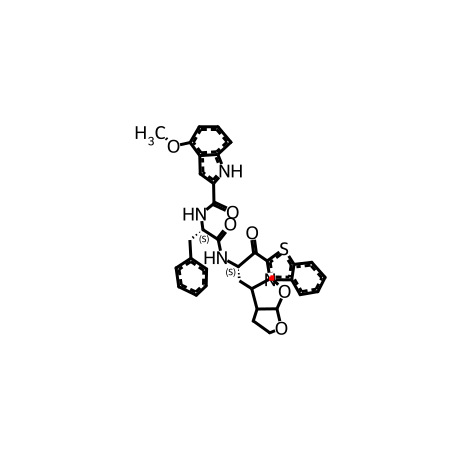 COc1cccc2[nH]c(C(=O)N[C@@H](Cc3ccccc3)C(=O)N[C@@H](CC3COC4OCCC34)C(=O)c3nc4ccccc4s3)cc12